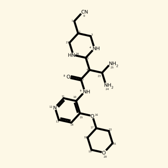 N#CCC1CNC(C(C(=O)Nc2cnccc2OC2CCOCC2)C(N)N)NC1